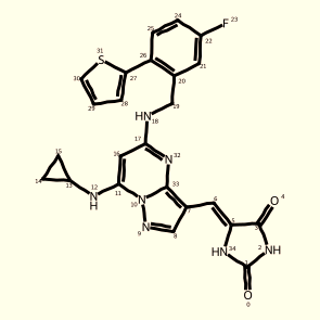 O=C1NC(=O)/C(=C/c2cnn3c(NC4CC4)cc(NCc4cc(F)ccc4-c4cccs4)nc23)N1